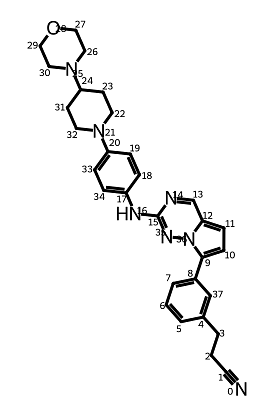 N#CCCc1cccc(-c2ccc3cnc(Nc4ccc(N5CCC(N6CCOCC6)CC5)cc4)nn23)c1